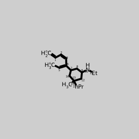 C=C/C=C\C(=C/C)C1CC(NCC)CC(C)(CCC)C1